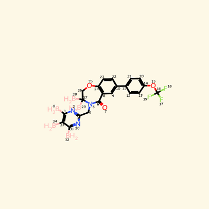 Bc1nc(CN2C(=O)c3cc(-c4ccc(OC(F)(F)F)cc4)ccc3OCC2(B)B)nc(B)c1B